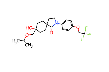 CC(C)OCC1(O)CCC2(CCN(c3ccc(OCC(F)(F)F)cc3)C2=O)CC1